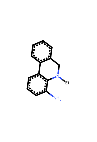 CCN1Cc2ccccc2-c2cccc(N)c21